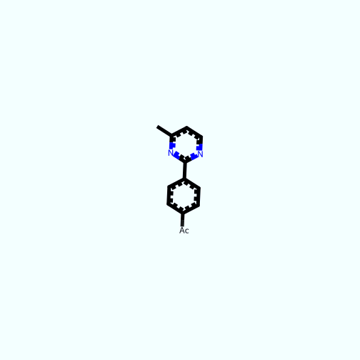 CC(=O)c1ccc(-c2nccc(C)n2)cc1